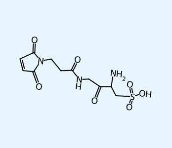 NC(CS(=O)(=O)O)C(=O)CNC(=O)CCN1C(=O)C=CC1=O